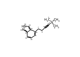 C[Si](C)(C)C#CCCc1cccc2n[nH]cc12